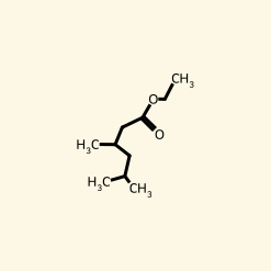 CCOC(=O)CC(C)CC(C)C